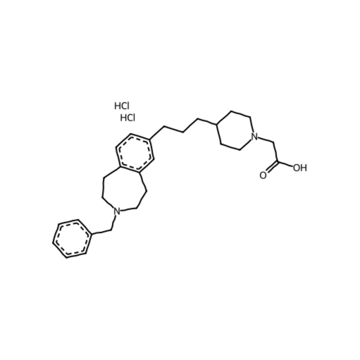 Cl.Cl.O=C(O)CN1CCC(CCCc2ccc3c(c2)CCN(Cc2ccccc2)CC3)CC1